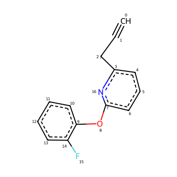 C#C[CH]c1cccc(Oc2ccccc2F)n1